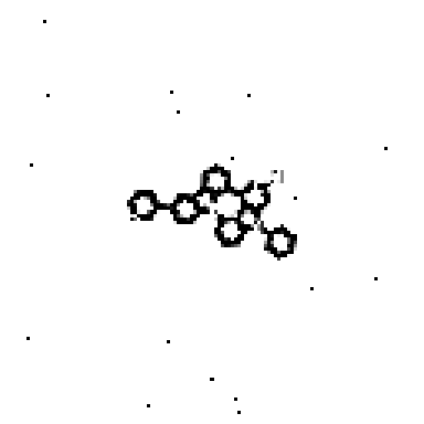 Clc1cc2c3cccc4c5cc(-c6ccccc6)ccc5n(c5cccc6c5c2c(c1)n6-c1ccccc1)c34